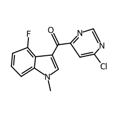 Cn1cc(C(=O)c2cc(Cl)ncn2)c2c(F)cccc21